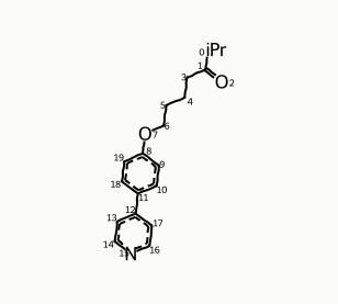 CC(C)C(=O)CCCCOc1ccc(-c2ccncc2)cc1